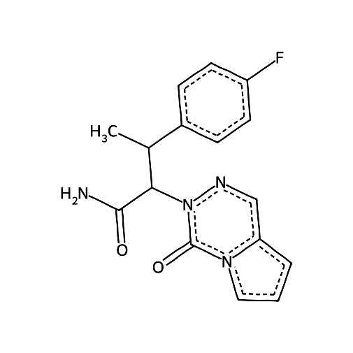 CC(c1ccc(F)cc1)C(C(N)=O)n1ncc2cccn2c1=O